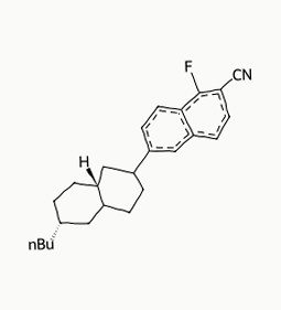 CCCC[C@@H]1CC[C@@H]2CC(c3ccc4c(F)c(C#N)ccc4c3)CCC2C1